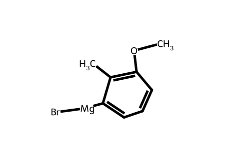 COc1ccc[c]([Mg][Br])c1C